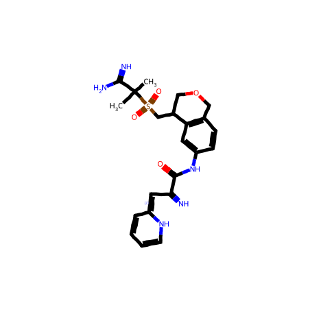 CC(C)(C(=N)N)S(=O)(=O)CC1COCc2ccc(NC(=O)C(=N)/C=C3/C=CC=CN3)cc21